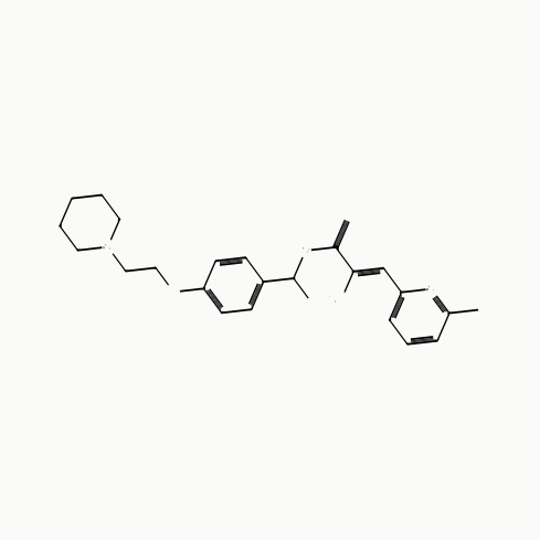 C=C(NC(CCC)c1ccc(OCCN2CCCCC2)cc1)/C(C#N)=C/c1cccc(C)n1